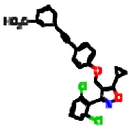 O=C(O)c1cccc(C#Cc2ccc(OCc3c(-c4c(Cl)cccc4Cl)noc3C3CC3)cc2)c1